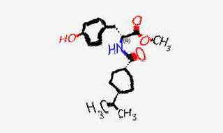 COC(=O)[C@@H](Cc1ccc(O)cc1)NC(=O)[C@H]1CC[C@H](C(C)C)CC1